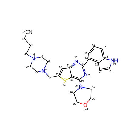 N#CCCCN1CCN(Cc2cc3nc(-c4cccc5[nH]ccc45)nc(N4CCOCC4)c3s2)CC1